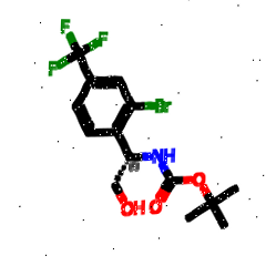 CC(C)(C)OC(=O)N[C@H](CO)c1ccc(C(F)(F)F)cc1Br